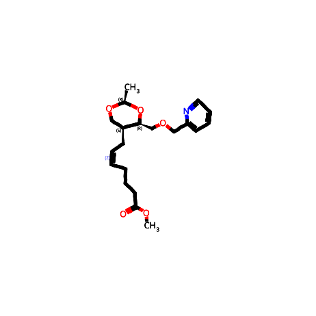 COC(=O)CCC/C=C\C[C@H]1CO[C@@H](C)O[C@H]1COCc1ccccn1